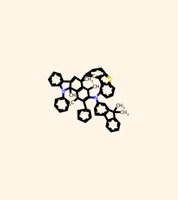 CC1C2=C(c3ccccc3)C(C)C3=C1C(C)(C=C1c4ccccc4N(c4ccccc4)C13C)c1ccc3sc4cccc(c4c3c1)N2c1ccc2c(c1)C(C)(C)c1ccccc1-2